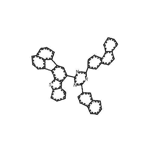 c1ccc2cc(-c3nc(-c4ccc5c(ccc6ccccc65)c4)nc(-c4cc5c(c6sc7ccccc7c46)-c4cccc6cccc-5c46)n3)ccc2c1